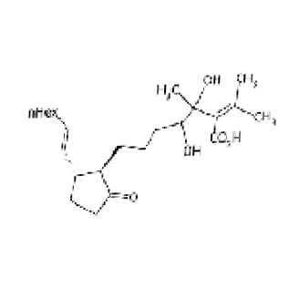 CCCCCC/C=C/[C@H]1CCC(=O)[C@@H]1CCCC(O)C(C)(O)C(C(=O)O)=C(C)C